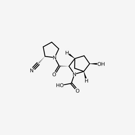 N#C[C@@H]1CCCN1C(=O)[C@@H]1[C@@H]2C[C@@H](O)[C@@H](C2)N1C(=O)O